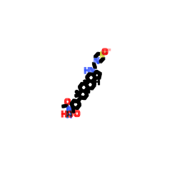 CC(=O)NC1(C(=O)O)CC=C(C2=CCC3(C)C(CCC4(C)C5CCC6(NCCN7CC[S+]([O-])CC7)CCC[C@@H]6C5CCC43)C2(C)C)CC1